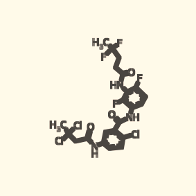 CC(F)(F)CCC(=O)Nc1c(F)ccc(NC(=O)c2cc(NC(=O)CC(C)(Cl)Cl)ccc2Cl)c1F